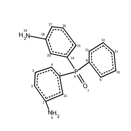 Nc1cccc(P(=O)(c2ccccc2)c2cccc(N)c2)c1